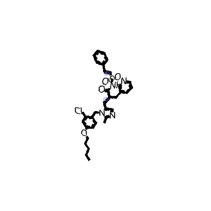 CCCCCOc1ccc(Cn2c(/C=C(\Cc3cccnc3)C(=O)NS(=O)(=O)/C=C/c3ccccc3)cnc2C)c(Cl)c1